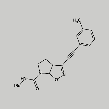 Cc1cccc(C#CC2=NOC3C2CCN3C(=O)NC(C)(C)C)c1